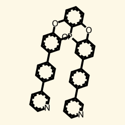 O=P12c3cc(-c4ccc(-c5cccnc5)cc4)ccc3Oc3cccc(c31)Oc1ccc(-c3ccc(-c4cccnc4)cc3)cc12